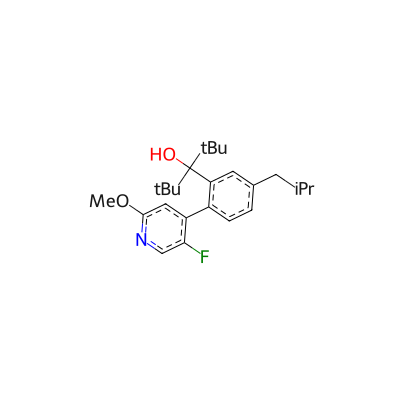 COc1cc(-c2ccc(CC(C)C)cc2C(O)(C(C)(C)C)C(C)(C)C)c(F)cn1